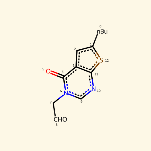 CCCCc1cc2c(=O)n(CC=O)cnc2s1